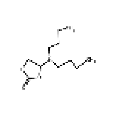 CCCCN(CCCC)C1COC(=O)O1